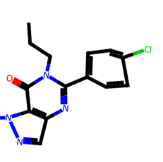 CCCn1c(-c2ccc(Cl)cc2)nc2cnn(C)c2c1=O